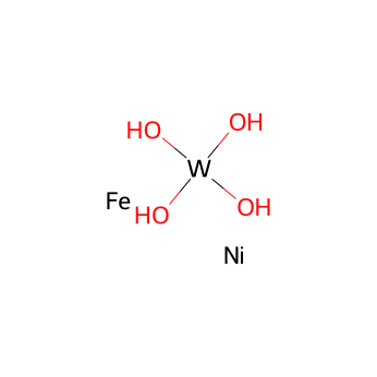 [Fe].[Ni].[OH][W]([OH])([OH])[OH]